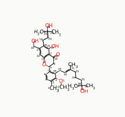 COc1c(C)ccc([C@@H]2CC(=O)c3c(cc(CO)c(CCC(C)(C)O)c3O)O2)c1C/C=C(\C)CCCC(C)(C)O